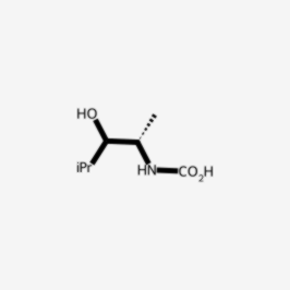 CC(C)C(O)[C@H](C)NC(=O)O